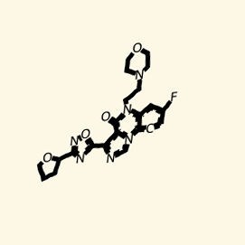 O=c1c2c(-c3nc(C4CCCO4)no3)ncn2c2ccc(F)cc2n1CCN1CCOCC1